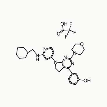 O=C(O)C(F)(F)F.Oc1cccc(-c2nc(N3CCOCC3)nc3c2CCN3c2ccnc(NCC3CCCCC3)c2)c1